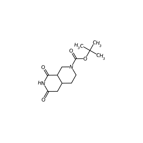 CC(C)(C)OC(=O)N1CCC2CC(=O)NC(=O)C2C1